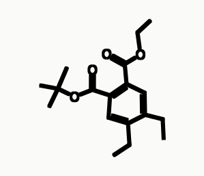 CCOC(=O)c1cc(CC)c(CC)cc1C(=O)OC(C)(C)C